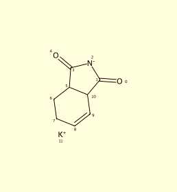 O=C1[N-]C(=O)C2CCC=CC12.[K+]